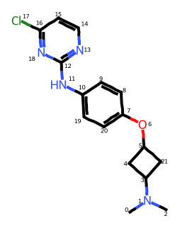 CN(C)C1CC(Oc2ccc(Nc3nccc(Cl)n3)cc2)C1